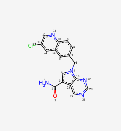 NC(=O)c1cn(Cc2ccc3ncc(Cl)cc3c2)c2ncncc12